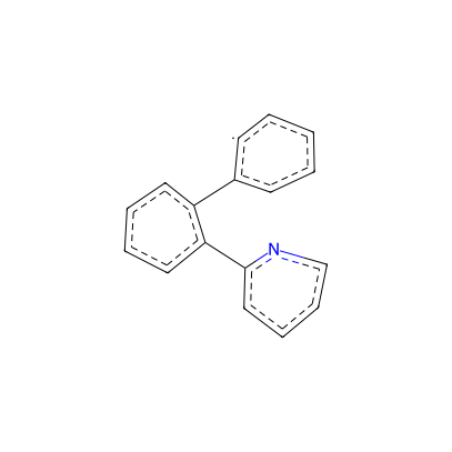 [c]1ccccc1-c1ccccc1-c1ccccn1